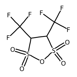 O=S1(=O)OS(=O)(=O)C(C(F)(F)F)C1C(F)(F)F